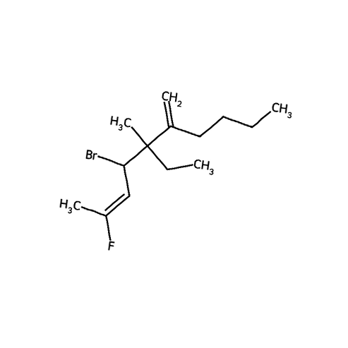 C=C(CCCC)C(C)(CC)C(Br)/C=C(\C)F